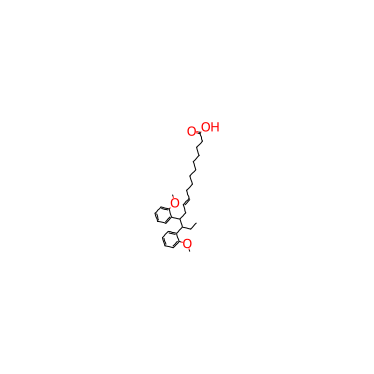 CCC(c1ccccc1OC)C(CC=CCCCCCCCCC(=O)O)c1ccccc1OC